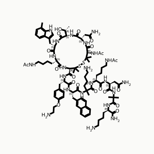 CC(=O)NCCCC[C@@H]1NC(=O)[C@H](Cc2c[nH]c3c(C)cccc23)NC(=O)[C@H]([C@@H](C)O)NC(=O)[C@H](CC(N)=O)NC(=O)[C@@H](NC(C)=O)C(C)(C)SSC(C)(C)[C@@H](C(=O)N[C@@H](Cc2ccc(OCCN)cc2)C(=O)N[C@@H](Cc2ccc3ccccc3c2)C(=O)NC(C)(CCCCN)C(=O)N[C@@H](CCCCNC(C)=O)C(=O)N[C@@H](CC(N)=O)C(=O)NC(C)(C)C(=O)N[C@H](CCCCN)C(N)=O)NC1=O